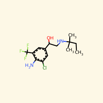 CCC(C)(C)NCC(O)c1cc(Cl)c(N)c(C(F)(F)F)c1